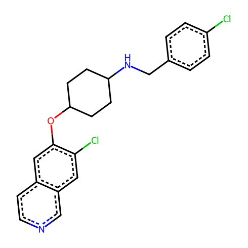 Clc1ccc(CNC2CCC(Oc3cc4ccncc4cc3Cl)CC2)cc1